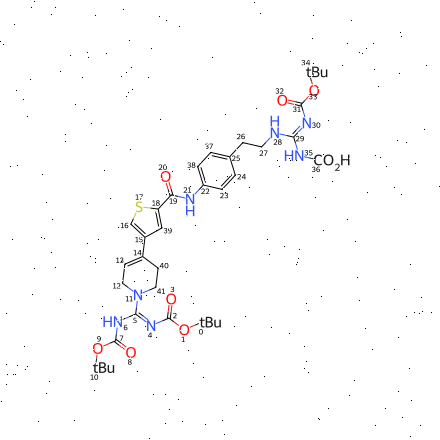 CC(C)(C)OC(=O)/N=C(/NC(=O)OC(C)(C)C)N1CC=C(c2csc(C(=O)Nc3ccc(CCN/C(=N\C(=O)OC(C)(C)C)NC(=O)O)cc3)c2)CC1